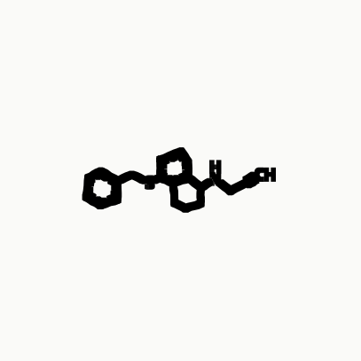 C#CCNC1CCCc2c(SCc3ccccc3)cccc21